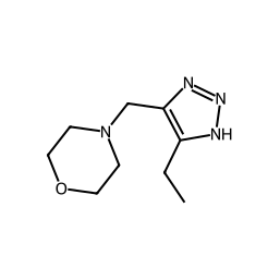 CCc1[nH]nnc1CN1CCOCC1